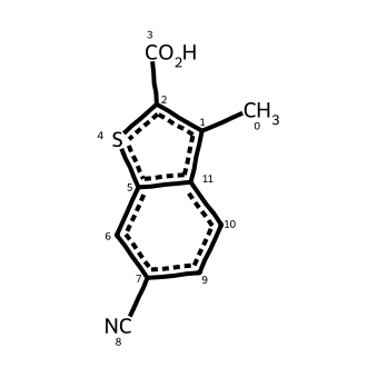 Cc1c(C(=O)O)sc2cc(C#N)ccc12